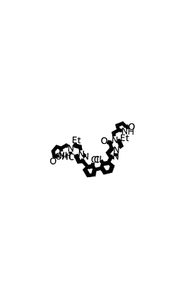 CC/C(=C/n1nc(-c2cccc(-c3cccc(-c4cc5c(=O)n(CC6CCC(=O)N6)c(CC)cn5n4)c3Cl)c2Cl)cc1C=O)N(C)CC1CCC(=O)N1